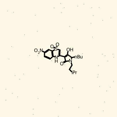 CCCCC1C(O)=C(C2=CS(=O)(=O)c3cc([N+](=O)[O-])ccc3N2)C(=O)N1CCC(C)C